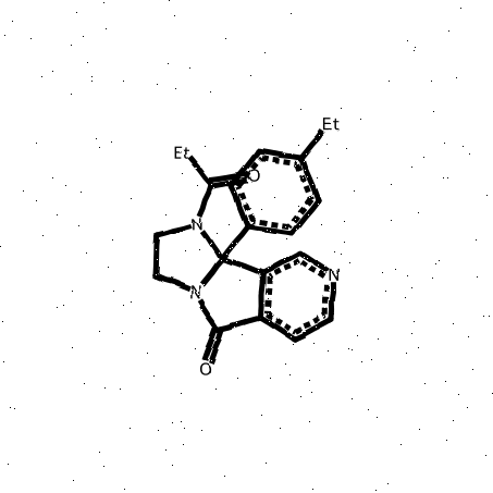 CCC(=O)N1CCN2C(=O)c3ccncc3C12c1ccc(CC)cc1